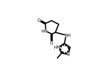 Cc1ncc(NC2CCC(=O)NC2=O)[nH]1